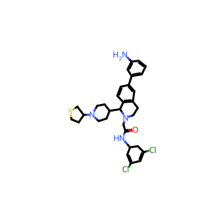 Nc1cccc(-c2ccc3c(c2)CCN(CC(=O)NC2C=C(Cl)C=C(Cl)C2)C3C2CCN(C3CCSC3)CC2)c1